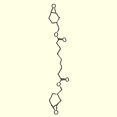 O=C(CCCCCCCC(=O)OCC1CCC2OC2C1)OCC1CCC2OC2C1